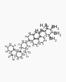 Bc1c(B)c(B)c(-c2ccc3ccc4c(-c5ccc6c(c5)C(C)(C)c5ccc7c(c5-6)-c5ccccc5C7(C)C)ccc5ccc2c3c54)c(B)c1B